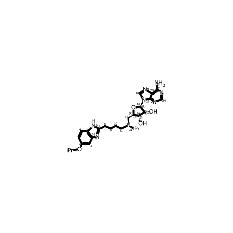 CC(C)Oc1ccc2[nH]c(CCCCN(C[C@H]3O[C@@H](n4cnc5c(N)ncnc54)[C@H](O)[C@@H]3O)C(C)C)nc2c1